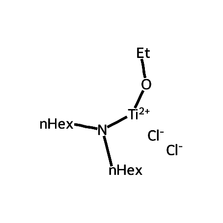 CCCCCC[N](CCCCCC)[Ti+2][O]CC.[Cl-].[Cl-]